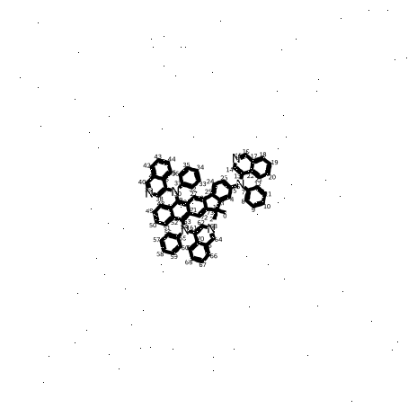 CC1(C)c2cc(N(c3ccccc3)c3cncc4ccccc34)ccc2-c2cc3c(N(c4ccccc4)c4cncc5ccccc45)c4ccccc4c(N(c4ccccc4)c4cncc5ccccc45)c3cc21